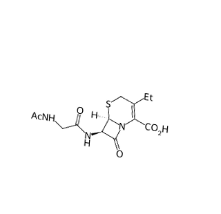 CCC1=C(C(=O)O)N2C(=O)[C@@H](NC(=O)CNC(C)=O)[C@H]2SC1